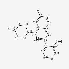 Cc1ccc2nc(-c3ccccc3O)nc(N3CCN(C)CC3)c2c1